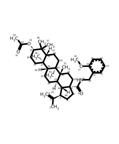 C=C(C)[C@@H]1CC[C@]2(C(=O)NCc3ccccc3OC)CC[C@]3(C)[C@H](CC[C@@H]4[C@@]5(C)CC[C@H](OC(C)=O)C(C)(C)[C@@H]5CC[C@]43C)[C@@H]12